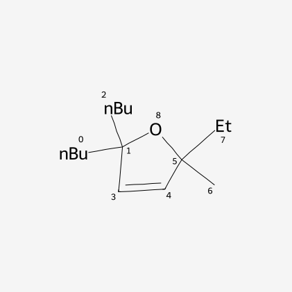 CCCCC1(CCCC)C=CC(C)(CC)O1